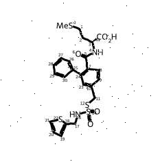 CSCC[C@H](NC(=O)c1ccc(CSS(=O)(=O)NCc2cccs2)cc1-c1ccccc1)C(=O)O